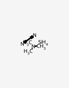 CN(C)C.N#CC#N.[SiH4]